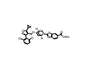 COC(=O)c1ccc2nc(N3C[C@H]4C[C@@H]3C[C@@H]4OCc3c(-c4c(Cl)cccc4Cl)noc3C3CC3)sc2c1